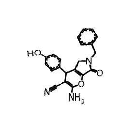 N#CC1=C(N)OC2=C(CN(Cc3ccccc3)C2=O)C1c1ccc(O)cc1